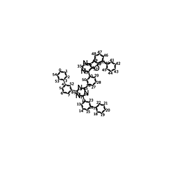 c1ccc(-c2cccc(-c3nc(-c4cccc(-c5ccccc5)c4)nc(-c4cccc(-c5ncnc6c5oc5c(-c7ccccc7)cccc56)c4)n3)c2)cc1